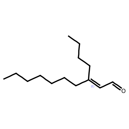 CCCCCCC/C(=C/C=O)CCCC